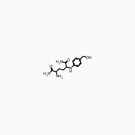 NC(=O)C(N)CCC(Nc1ccc(CO)cc1)C(N)=O